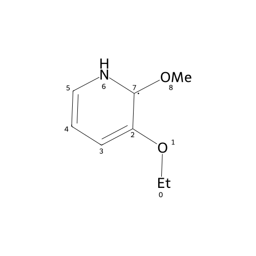 CCOC1=CC=CN[C]1OC